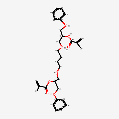 C=C(C)C(=O)OC(COCCCCOCC(COc1ccccc1)OC(=O)C(=C)C)COc1ccccc1